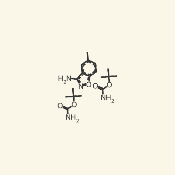 CC(C)(C)OC(N)=O.CC(C)(C)OC(N)=O.Cc1ccc2onc(N)c2c1